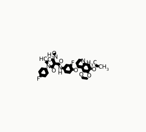 C#CN(C(=O)/C(C(=O)Nc1ccc(Oc2ccnc3cc(OC(C)C)c4c(c23)OCCO4)c(F)c1)=C(\C)N=O)c1ccc(F)cc1